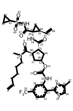 C=CCCCCN(C)C(=O)[C@@H]1C[C@H](OC(=O)Nc2cc(C(F)(F)F)ccc2-c2nc(C)cs2)C[C@H]1C(=O)N[C@]1(C(=O)NS(=O)(=O)C2CC2)C[C@H]1C=C